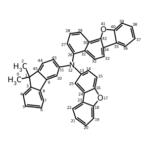 CC1(C)c2ccccc2-c2cc(N(c3ccc4oc5ccccc5c4c3)c3cccc4c3ccc3c5ccccc5oc43)ccc21